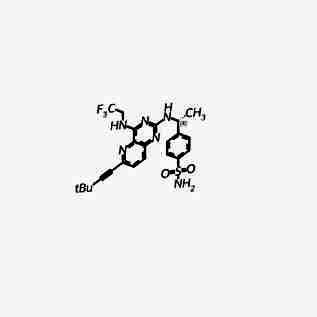 C[C@@H](Nc1nc(NCC(F)(F)F)c2nc(C#CC(C)(C)C)ccc2n1)c1ccc(S(N)(=O)=O)cc1